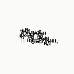 Nc1ncnc2c1ncn2[C@@H]1O[C@@H]2COP(=O)(S)O[C@H]3[C@H](F)[C@H](n4cnc5c(=O)n6cc[nH]c6nc54)O[C@@H]3COP(=O)(S)O[C@@H]1[C@@H]2O